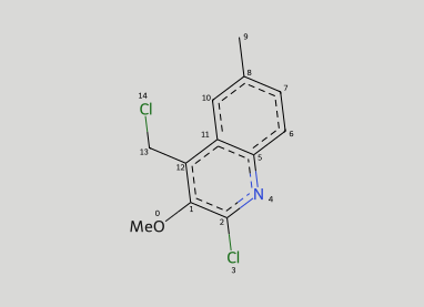 COc1c(Cl)nc2ccc(C)cc2c1CCl